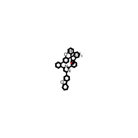 CC1C=CC=C2Oc3cc(-c4ccccc4-c4cc(-c5ccc6c(c5)oc5ccccc56)nc(-c5ccccc5)n4)ccc3C3(c4ccccc4-c4ccccc43)[C@@H]21